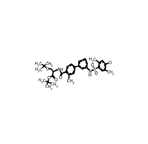 Cc1cc(S(=O)(=O)Nc2cccc(-c3ccc(C(=O)NC(COC(C)(C)C)C(=O)OC(C)(C)C)c(C)c3)c2)c(C)cc1Cl